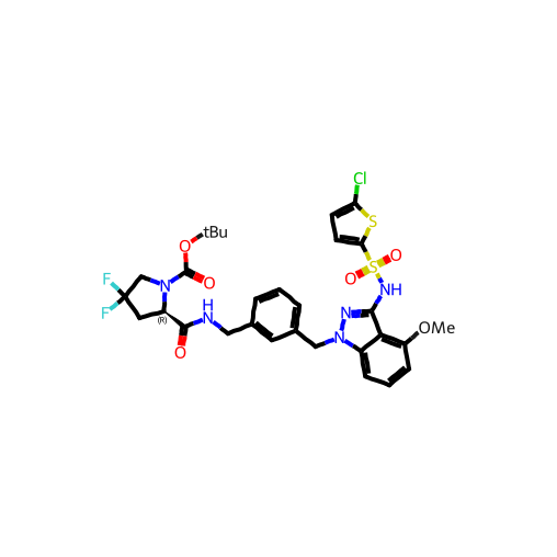 COc1cccc2c1c(NS(=O)(=O)c1ccc(Cl)s1)nn2Cc1cccc(CNC(=O)[C@H]2CC(F)(F)CN2C(=O)OC(C)(C)C)c1